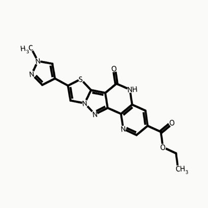 CCOC(=O)c1cnc2c(c1)[nH]c(=O)c1c2nn2cc(-c3cnn(C)c3)sc12